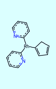 C1=CC[C]([Rh]([c]2ccccn2)[c]2ccccn2)=C1